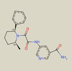 C[C@H]1CCC[C@@H](c2ccccc2)N1C(=O)C(=O)Nc1cncc(C(N)=O)c1